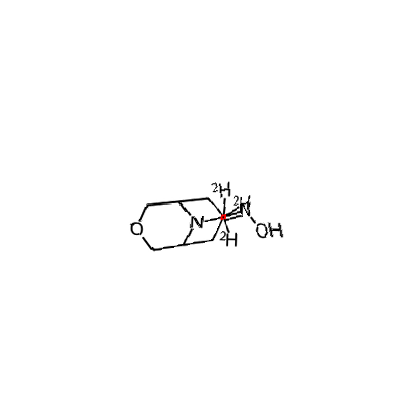 [2H]C([2H])([2H])N1C2COCC1CC(=NO)C2